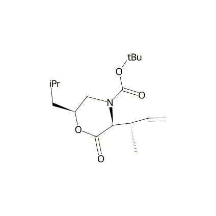 C=C[C@H](C)[C@H]1C(=O)O[C@@H](CC(C)C)CN1C(=O)OC(C)(C)C